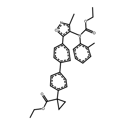 CCOC(=O)N(c1ccccc1C)c1c(C)noc1-c1ccc(-c2ccc(C3(C(=O)OCC)CC3)cc2)cc1